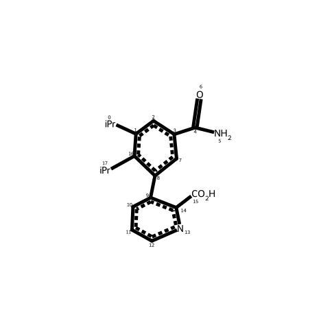 CC(C)c1cc(C(N)=O)cc(-c2cccnc2C(=O)O)c1C(C)C